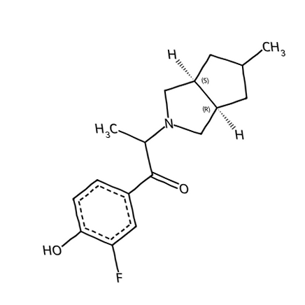 CC1C[C@@H]2CN(C(C)C(=O)c3ccc(O)c(F)c3)C[C@@H]2C1